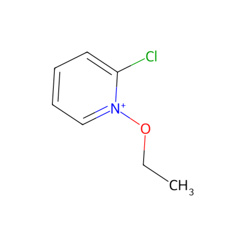 CCO[n+]1ccccc1Cl